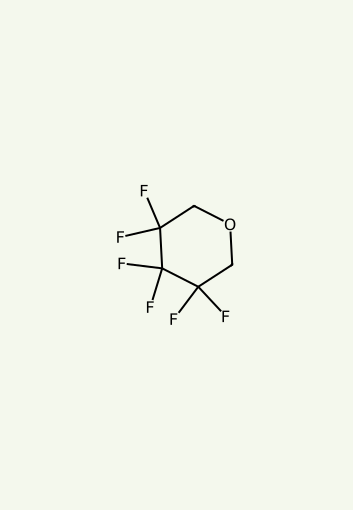 FC1(F)COCC(F)(F)C1(F)F